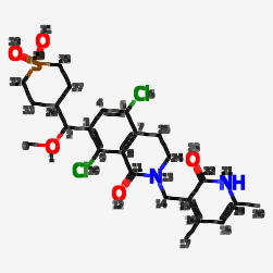 COC(c1cc(Cl)c2c(c1Cl)C(=O)N(Cc1c(C)cc(C)[nH]c1=O)CC2)C1CCS(=O)(=O)CC1